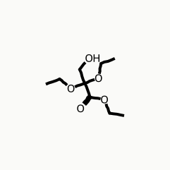 CCOC(=O)C(CO)(OCC)OCC